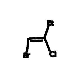 CCC(Cl)=CBr